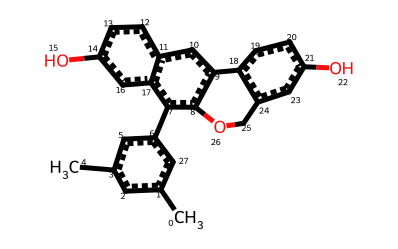 Cc1cc(C)cc(-c2c3c(cc4ccc(O)cc24)-c2ccc(O)cc2CO3)c1